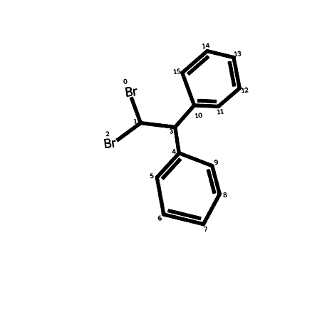 BrC(Br)C(c1ccccc1)c1ccccc1